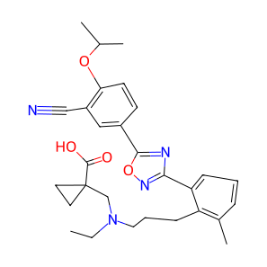 CCN(CCCc1c(C)cccc1-c1noc(-c2ccc(OC(C)C)c(C#N)c2)n1)CC1(C(=O)O)CC1